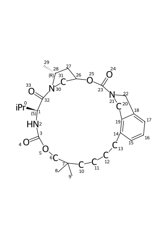 CC(C)[C@@H]1NC(=O)OCC(C)(C)CCCCc2cccc3c2CN(C3)C(=O)OC2C[C@@H](C)N(C2)C1=O